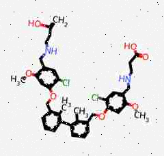 C=C(O)CCNCc1cc(Cl)c(OCc2cccc(-c3cccc(COc4cc(OC)c(CNCCC(=O)O)cc4Cl)c3C)c2C)cc1OC